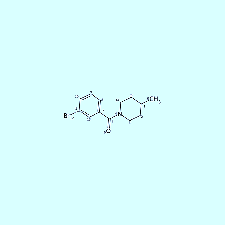 CC1CCN(C(=O)c2cccc(Br)c2)CC1